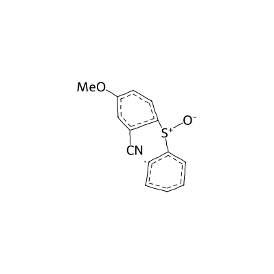 COc1ccc([S+]([O-])c2[c]cccc2)c(C#N)c1